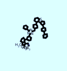 C/C=C\C1=C(C)C(C)(C)c2cccc(-c3cccc(-c4nc(Cc5ccc(-c6cccc7sc8ccc(-c9ccc(-c%10ccccc%10)cc9)cc8c67)cc5)nc(C5=CCCC=C5)n4)c3)c21